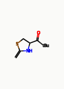 C=C1NC(C(=O)C(C)(C)C)CS1